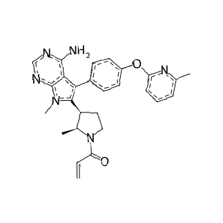 C=CC(=O)N1CC[C@H](c2c(-c3ccc(Oc4cccc(C)n4)cc3)c3c(N)ncnc3n2C)[C@@H]1C